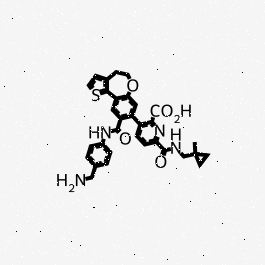 CC1(CNC(=O)c2ccc(-c3cc4c(cc3C(=O)Nc3ccc(CN)cc3)-c3sccc3CCO4)c(C(=O)O)n2)CC1